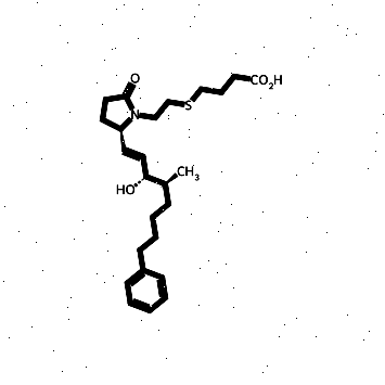 C[C@@H](CCCCc1ccccc1)[C@H](O)C=C[C@H]1CCC(=O)N1CCSCCCC(=O)O